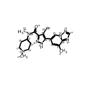 Cc1cc(-c2[nH]nc(C(=O)N(C)C3CCN(C)CC3)c2C(C)C)cn2ncnc12